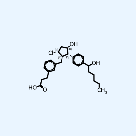 CCCCCC(O)c1ccc([C@@H]2[C@@H](Cc3cccc(CCC(=O)O)c3)[C@H](Cl)C[C@H]2O)cc1